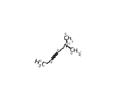 [CH2]N(C)C#CC